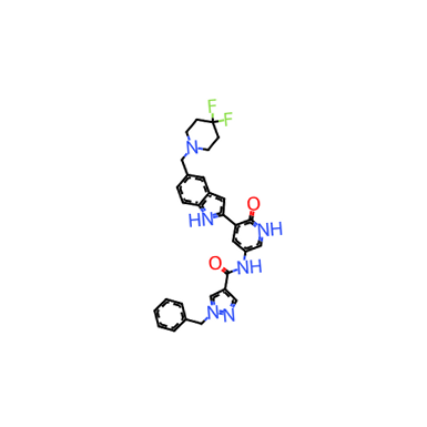 O=C(Nc1c[nH]c(=O)c(-c2cc3cc(CN4CCC(F)(F)CC4)ccc3[nH]2)c1)c1cnn(Cc2ccccc2)c1